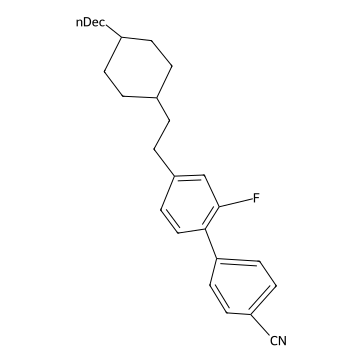 CCCCCCCCCCC1CCC(CCc2ccc(-c3ccc(C#N)cc3)c(F)c2)CC1